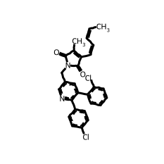 C/C=C\C=C/C1=C(C)C(=O)N(Cc2cnc(-c3ccc(Cl)cc3)c(-c3ccccc3Cl)c2)C1=O